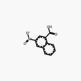 O=C(O)c1cc([N+](=O)[O-])cc2ccccc12